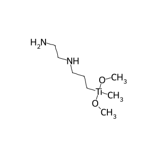 C[O][Ti]([CH3])([CH2]CCNCCN)[O]C